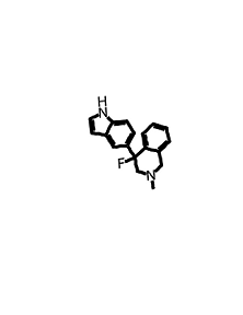 CN1Cc2ccccc2C(F)(c2ccc3[nH]ccc3c2)C1